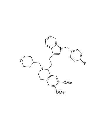 COc1cc2c(cc1OC)C(CCc1cn(Cc3ccc(F)cc3)c3ccccc13)N(CC1CCOCC1)CC2